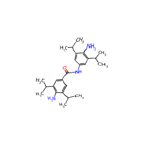 CC(C)c1cc(NC(=O)c2cc(C(C)C)c(N)c(C(C)C)c2)cc(C(C)C)c1N